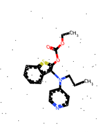 CCCN(c1ccncc1)c1c(OC(=O)OCC)sc2ccccc12